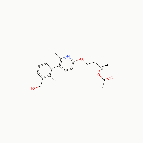 CC(=O)O[C@H](C)CCOc1ccc(-c2cccc(CO)c2C)c(C)n1